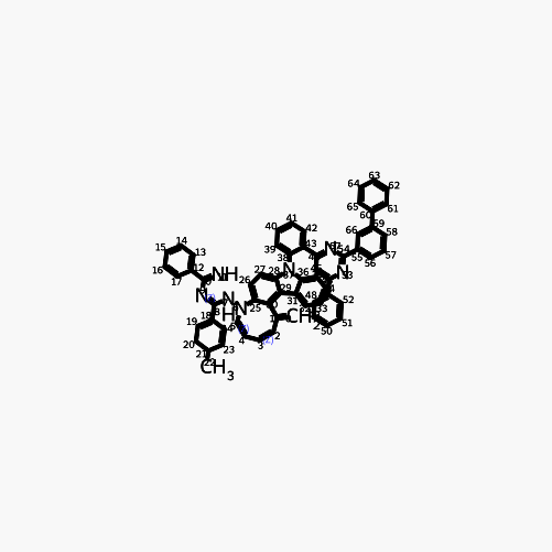 C=C1/C=C\C=C/N(N/C(=N\C(=N)c2ccccc2)C2=CCC(C)C=C2)c2ccc3c(c21)c1ccccc1n3-c1ccccc1-c1cc(-c2ccccc2)nc(-c2cccc(-c3ccccc3)c2)n1